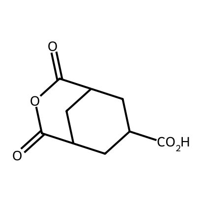 O=C(O)C1CC2CC(C1)C(=O)OC2=O